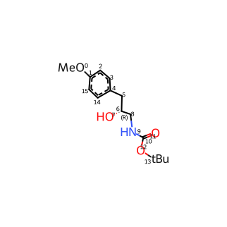 COc1ccc(C[C@@H](O)CNC(=O)OC(C)(C)C)cc1